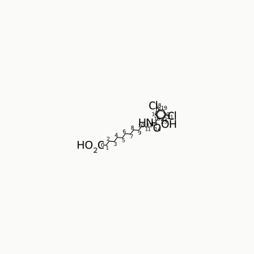 O=C(O)CCCCCCCCCCCNC(=O)c1cc(Cl)cc(Cl)c1O